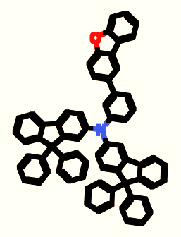 c1ccc(C2(c3ccccc3)c3ccccc3-c3cc(N(c4cccc(-c5ccc6oc7ccccc7c6c5)c4)c4ccc5c(c4)C(c4ccccc4)(c4ccccc4)c4ccccc4-5)ccc32)cc1